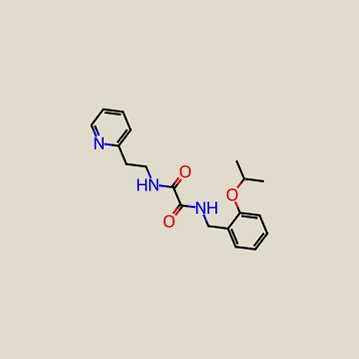 CC(C)Oc1ccccc1CNC(=O)C(=O)NCCc1ccccn1